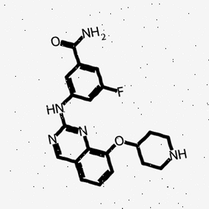 NC(=O)c1cc(F)cc(Nc2ncc3cccc(OC4CCNCC4)c3n2)c1